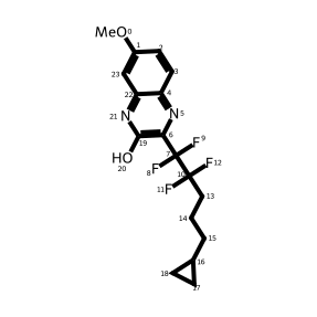 COc1ccc2nc(C(F)(F)C(F)(F)CCCC3CC3)c(O)nc2c1